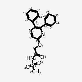 CS(=O)(=O)NC(=O)COc1cnc(-c2ccccc2)c(-c2ccccc2)n1